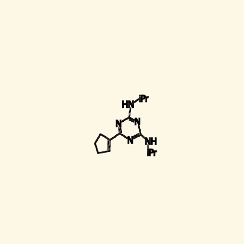 CC(C)Nc1nc(NC(C)C)nc(C2=CCCC2)n1